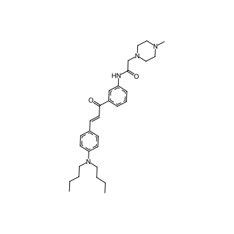 CCCCN(CCCC)c1ccc(C=CC(=O)c2cccc(NC(=O)CN3CCN(C)CC3)c2)cc1